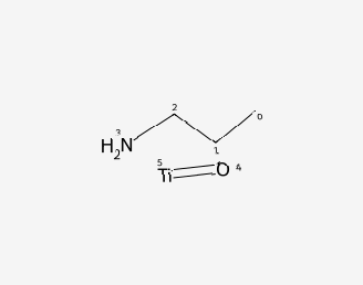 CCCN.[O]=[Ti]